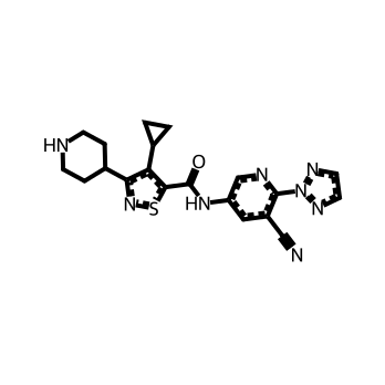 N#Cc1cc(NC(=O)c2snc(C3CCNCC3)c2C2CC2)cnc1-n1nccn1